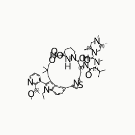 CCn1c(-c2cccnc2[C@H](C)OC)c2c3cc(ccc31)-c1csc(n1)C[C@H](NC(=O)[C@H](C(C)C)N(C)C(=O)N1C[C@@H](C)N(C)C[C@@H]1C)C(=O)N1CCC[C@@](O)(N1)C(=O)OCC(C)(C)C2